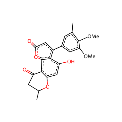 COc1cc(-c2cc(=O)oc3c4c(cc(O)c23)OC(C)CC4=O)cc(C)c1OC